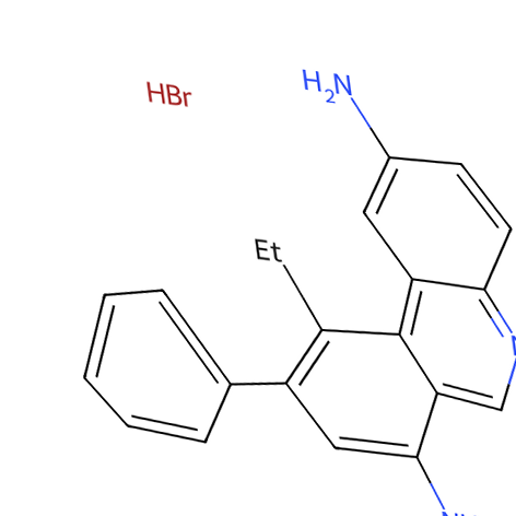 Br.CCc1c(-c2ccccc2)cc(N)c2cnc3ccc(N)cc3c12